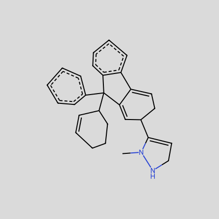 CN1NCC=C1C1C=C2C(=CC1)c1ccccc1C2(c1ccccc1)C1C=CCCC1